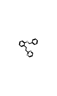 c1ccc(COc2ccccc2CCc2ncccn2)cc1